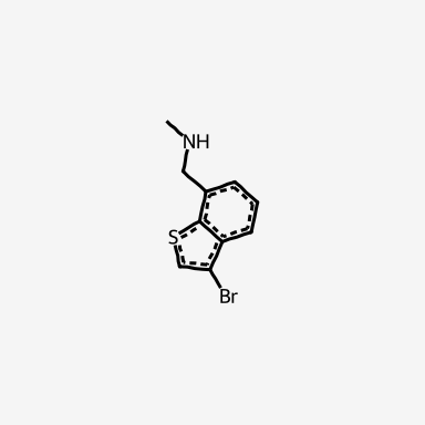 CNCc1cccc2c(Br)csc12